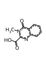 Cn1c(C(=O)O)nc2ccccc2c1=O